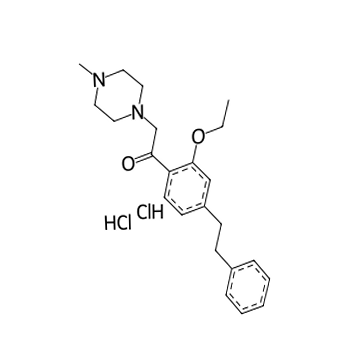 CCOc1cc(CCc2ccccc2)ccc1C(=O)CN1CCN(C)CC1.Cl.Cl